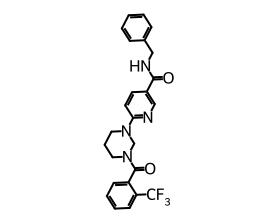 O=C(NCc1ccccc1)c1ccc(N2CCCN(C(=O)c3ccccc3C(F)(F)F)C2)nc1